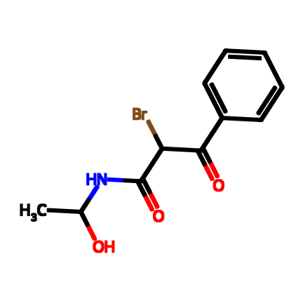 CC(O)NC(=O)C(Br)C(=O)c1ccccc1